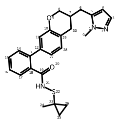 Cn1nccc1CC1COc2cc(-c3ccccc3C(=O)NSC3(C)CC3)ccc2C1